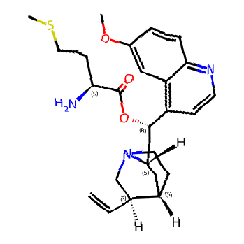 C=C[C@H]1CN2CC[C@H]1C[C@H]2[C@H](OC(=O)[C@@H](N)CCSC)c1ccnc2ccc(OC)cc12